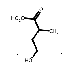 CC(CCO)C(=O)C(=O)O